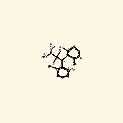 CC(C)c1cccc(C(C)C)c1C(c1c(C(C)C)cccc1C(C)C)C(C)(C)P(O)O